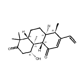 C=CC1=CC(=O)[C@H]2[C@@H](CC[C@H]3C(C)(C)C(=O)C[C@@H](O)[C@]23C)[C@H]1C